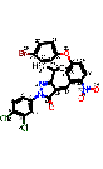 CC(C)C1=NN(c2ccc(Cl)c(Cl)c2)C(=O)/C1=C/c1cc(Oc2ccc(Br)cc2)ccc1[N+](=O)[O-]